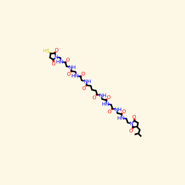 CC(C)CC1CC(=O)N(CCNC(=O)CNC(=O)CNC(=O)CNC(=O)CCCC(=O)NCC(=O)NCC(=O)NCC(=O)NCN2C(=O)CC(S)C2=O)C1=O